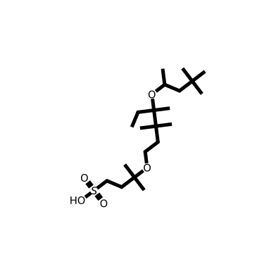 CCC(C)(OC(C)CC(C)(C)C)C(C)(C)CCOC(C)(C)CCS(=O)(=O)O